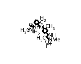 CN/C(OC(F)F)=C(/C)C(=N)c1ccc(OCc2c(C)cccc2NC(=O)N(C)N)c(C)c1